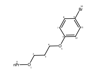 CCCOCCCOc1ccc(Br)cc1